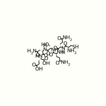 NC(=O)CC[C@H](NC(=O)[C@H](CCC(N)=O)NC(=O)[C@@H](N)CS)C(=O)N[C@@H](CO)C(=O)N[C@@H](CC(N)=O)C(=O)N[C@@H](CCC(=O)O)C(=O)O